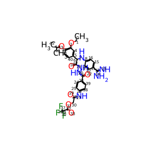 CCOc1cc(C(Nc2ccc(C(=N)N)cc2)C(=O)NNC(=O)c2ccc(NC(=O)COC(=O)C(F)(F)F)cc2)ccc1OC(C)C